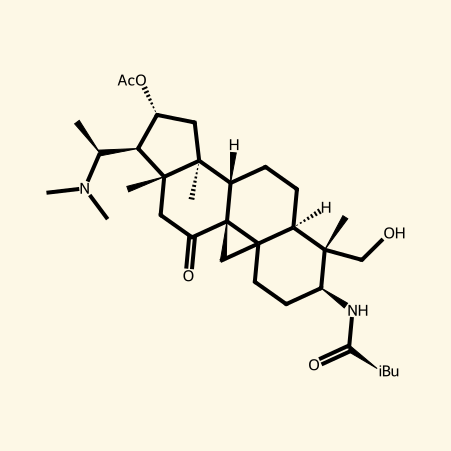 CC[C@H](C)C(=O)N[C@H]1CCC23C[C@]24C(=O)C[C@]2(C)[C@@H]([C@H](C)N(C)C)[C@H](OC(C)=O)C[C@@]2(C)[C@@H]4CC[C@H]3[C@]1(C)CO